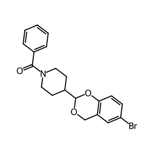 O=C(c1ccccc1)N1CCC(C2OCc3cc(Br)ccc3O2)CC1